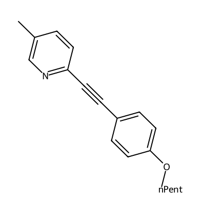 CCCCCOc1ccc(C#Cc2ccc(C)cn2)cc1